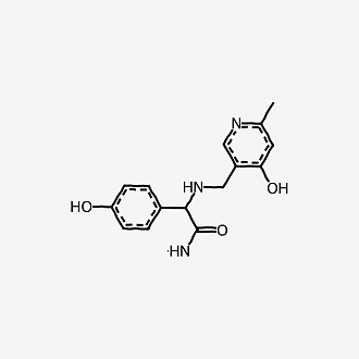 Cc1cc(O)c(CNC(C([NH])=O)c2ccc(O)cc2)cn1